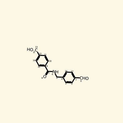 O=Cc1ccc(CNC(=O)c2ccc(C(=O)O)cc2)cc1